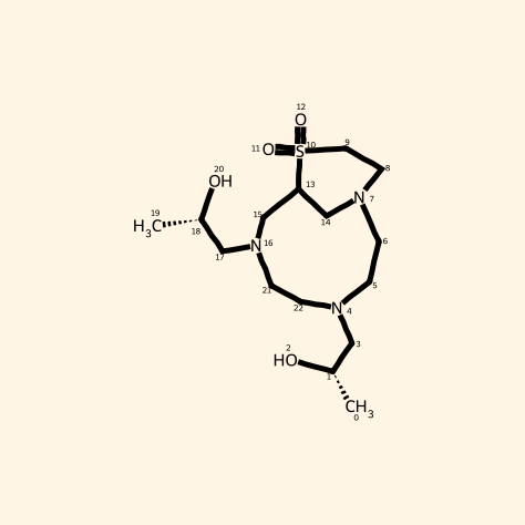 C[C@H](O)CN1CCN2CCS(=O)(=O)C(C2)CN(C[C@H](C)O)CC1